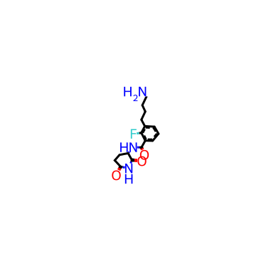 NCCCCc1cccc(C(=O)NC2CCC(=O)NC2=O)c1F